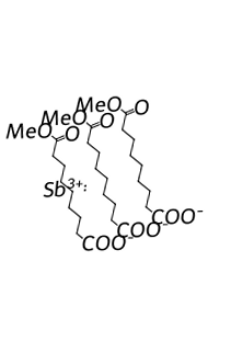 COC(=O)CCCCCCCC(=O)[O-].COC(=O)CCCCCCCC(=O)[O-].COC(=O)CCCCCCCC(=O)[O-].[Sb+3]